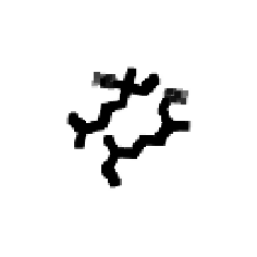 C=CC(C)(O)CC=CC(=C)C.C=CC(C)=CCC=C(C)CO